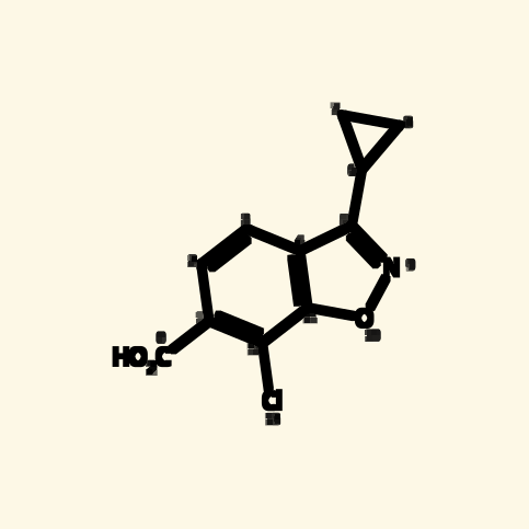 O=C(O)c1ccc2c(C3CC3)noc2c1Cl